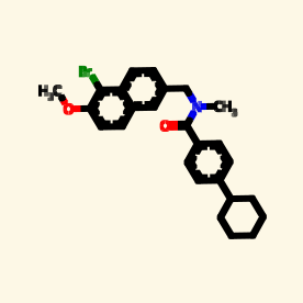 COc1ccc2cc(CN(C)C(=O)c3ccc(C4CCCCC4)cc3)ccc2c1Br